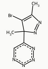 CC1=C(Br)C(C)(c2cnnnn2)N=N1